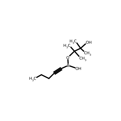 CCCC#CB(O)OC(C)(C)C(C)(C)O